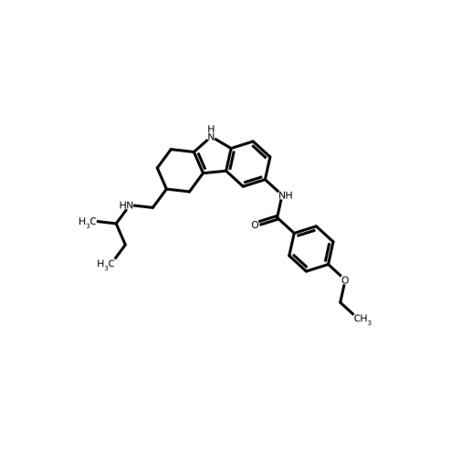 CCOc1ccc(C(=O)Nc2ccc3[nH]c4c(c3c2)CC(CNC(C)CC)CC4)cc1